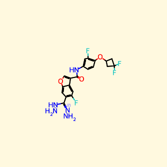 N/N=C(\NN)c1cc2occ(C(=O)Nc3ccc(OC4CC(F)(F)C4)c(F)c3)c2cc1F